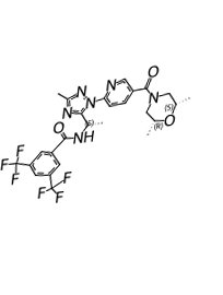 Cc1nc([C@H](C)NC(=O)c2cc(C(F)(F)F)cc(C(F)(F)F)c2)n(-c2ccc(C(=O)N3C[C@@H](C)O[C@@H](C)C3)cn2)n1